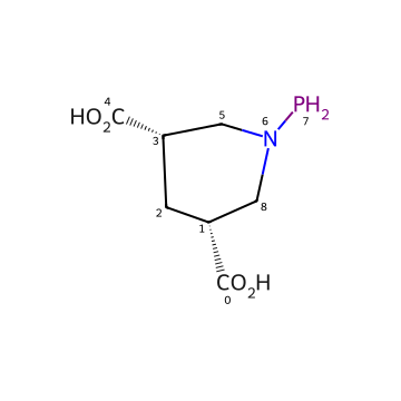 O=C(O)[C@@H]1C[C@H](C(=O)O)CN(P)C1